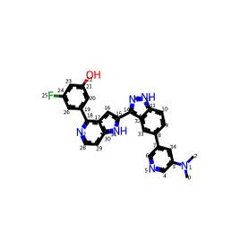 CN(C)c1cncc(-c2ccc3[nH]nc(-c4cc5c(-c6cc(O)cc(F)c6)nccc5[nH]4)c3c2)c1